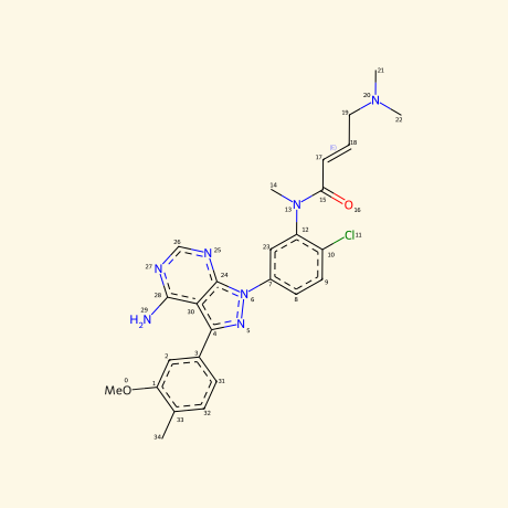 COc1cc(-c2nn(-c3ccc(Cl)c(N(C)C(=O)/C=C/CN(C)C)c3)c3ncnc(N)c23)ccc1C